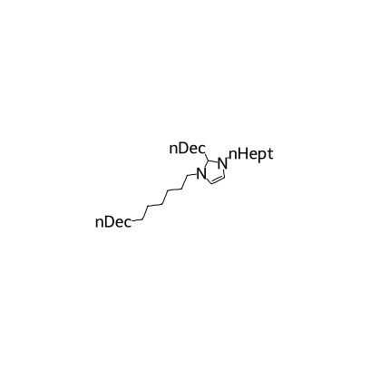 CCCCCCCCCCCCCCCCN1C=CN(CCCCCCC)C1CCCCCCCCCC